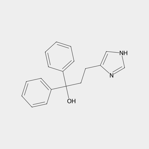 OC(CCc1c[nH]cn1)(c1ccccc1)c1ccccc1